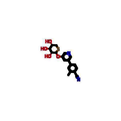 Cc1cc(-c2cncc(O[C@@H]3SC[C@@H](O)[C@H](O)[C@H]3O)c2)ccc1C#N